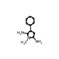 Cn1c(N)cc(-c2ccccc2)c1N